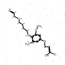 CCc1cc(OCC=C(Cl)Cl)cc(C)c1OCCCCOCC=O